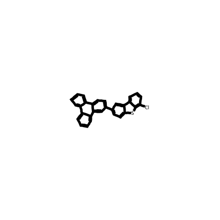 Clc1cccc2c1sc1ccc(-c3ccc4c5ccccc5c5ccccc5c4c3)cc12